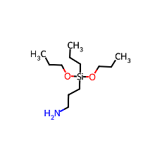 CCCO[Si](CCC)(CCCN)OCCC